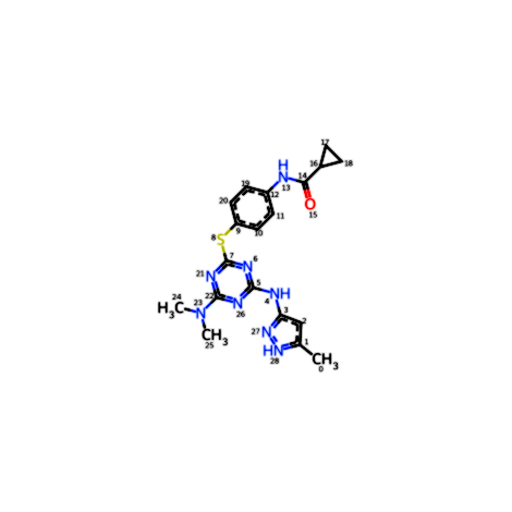 Cc1cc(Nc2nc(Sc3ccc(NC(=O)C4CC4)cc3)nc(N(C)C)n2)n[nH]1